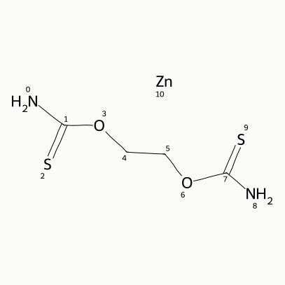 NC(=S)OCCOC(N)=S.[Zn]